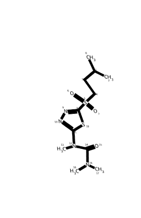 CC(C)CCS(=O)(=O)c1nnc(N(C)C(=O)N(C)C)s1